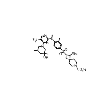 Cc1cc(S(=O)(=O)C2CC3(CCN(C(=O)O)CC3)C2C(C)(C)C)ccc1Nc1ncc(C(F)(F)F)c(N2CC(C)CC(C)(O)C2)n1